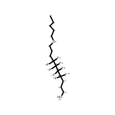 CCCCCOCCCC(F)(F)C(F)(F)C(F)(F)C(F)(F)CCCO